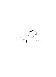 CC(C)[n+]1cccn1C(N)=O